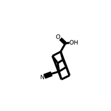 N#CC12C3C4C1C1C2C3C41C(=O)O